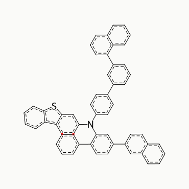 c1ccc(-c2ccc(-c3ccc4ccccc4c3)cc2N(c2ccc(-c3cccc(-c4cccc5ccccc45)c3)cc2)c2ccc3c(c2)sc2ccccc23)cc1